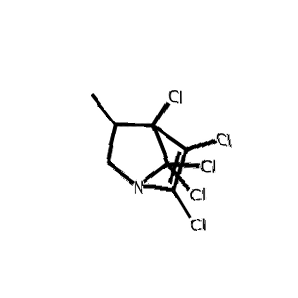 CC1CN2C(Cl)=C(Cl)C1(Cl)C2(Cl)Cl